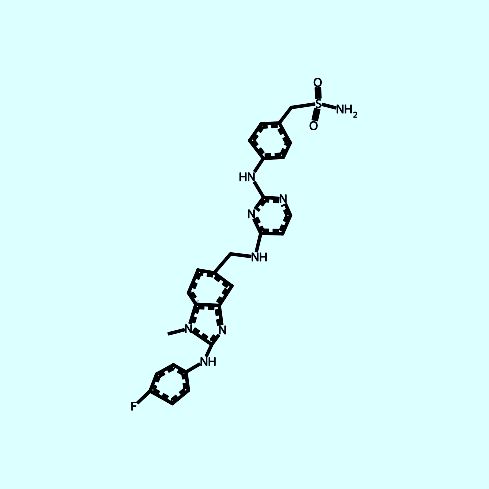 Cn1c(Nc2ccc(F)cc2)nc2cc(CNc3ccnc(Nc4ccc(CS(N)(=O)=O)cc4)n3)ccc21